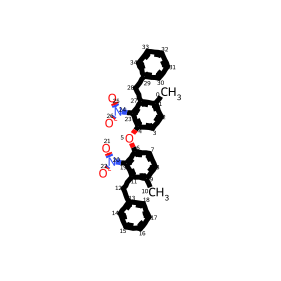 Cc1ccc(Oc2ccc(C)c(Cc3ccccc3)c2[N+](=O)[O-])c([N+](=O)[O-])c1Cc1ccccc1